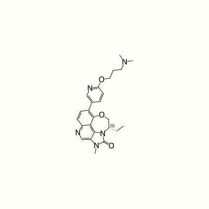 CC[C@H]1COc2c(-c3ccc(OCCCN(C)C)nc3)ccc3ncc4c(c23)n1c(=O)n4C